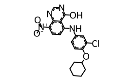 O=[N+]([O-])c1ccc(Nc2ccc(OC3CCCCC3)c(Cl)c2)c2c(O)ncnc12